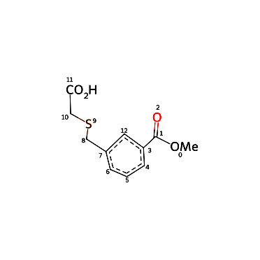 COC(=O)c1cccc(CSCC(=O)O)c1